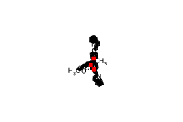 COC(=O)CC(O)CC(=N)CC(C)(c1ccc(OCc2ccc3ccccc3n2)cc1)c1ccc(OCc2ccc3ccccc3n2)cc1